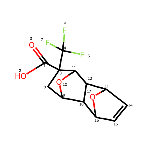 O=C(O)C1(C(F)(F)F)CC2OC1C1C3C=CC(O3)C21